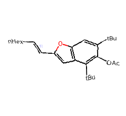 CCCCCC/C=C/c1cc2c(C(C)(C)C)c(OC(C)=O)c(C(C)(C)C)cc2o1